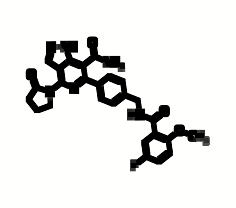 COc1ccc(F)cc1C(=O)NCc1ccc(-c2nc(N3CCCC3=O)c3cn[nH]c3c2C(N)=O)cc1